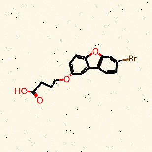 O=C(O)CCCOc1ccc2oc3cc(Br)ccc3c2c1